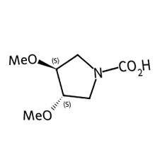 CO[C@H]1CN(C(=O)O)C[C@@H]1OC